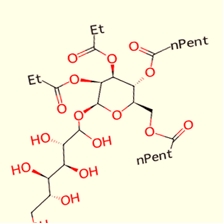 CCCCCC(=O)OC[C@H]1O[C@@H](OC(O)[C@@H](O)[C@@H](O)[C@H](O)[C@H](O)CO)[C@@H](OC(=O)CC)[C@@H](OC(=O)CC)[C@@H]1OC(=O)CCCCC